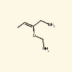 C/C=C(/CN)OCN